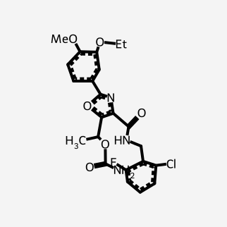 CCOc1cc(-c2nc(C(=O)NCc3c(F)cccc3Cl)c(C(C)OC(N)=O)o2)ccc1OC